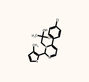 Cc1ccsc1C1N=CC=C(c2ccc(Cl)cc2)N1CC(C)(C)O